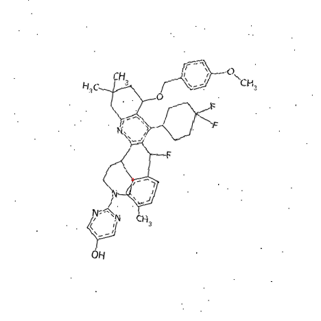 COc1ccc(COC2CC(C)(C)Cc3nc(C4CCN(c5ncc(O)cn5)CC4)c(C(F)c4ccc(C)cc4)c(C4CCC(F)(F)CC4)c32)cc1